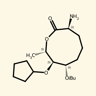 CC(C)CO[C@H]1CCC[C@H](N)C(=O)O[C@@H](C)[C@@H]1OC1CCCC1